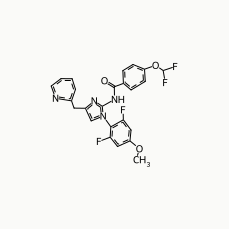 COc1cc(F)c(-n2cc(Cc3ccccn3)nc2NC(=O)c2ccc(OC(F)F)cc2)c(F)c1